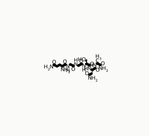 C[C@H](NC(=O)[C@H](CC(N)=O)NC(=O)[C@H](CO)NC(=O)CNC(=O)CNC(=O)[C@@H](N)CCC(N)=O)C(N)=O